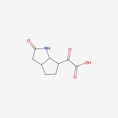 O=C1CC2CCC(C(=O)C(=O)O)C2N1